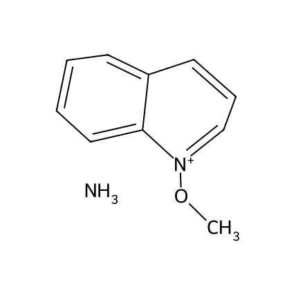 CO[n+]1cccc2ccccc21.N